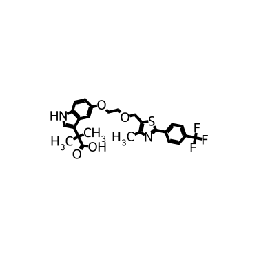 Cc1nc(-c2ccc(C(F)(F)F)cc2)sc1COCCOc1ccc2[nH]cc(C(C)(C)C(=O)O)c2c1